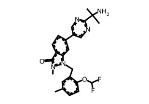 Cc1ccc(OC(F)F)c(Cn2c3cc(-c4cnc(C(C)(C)N)nc4)ccc3c(=O)n2C)c1